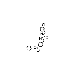 O=C(NCC1CCN(C(=O)OCc2ccccc2)CC1)c1cn2cc(Cl)ccc2n1